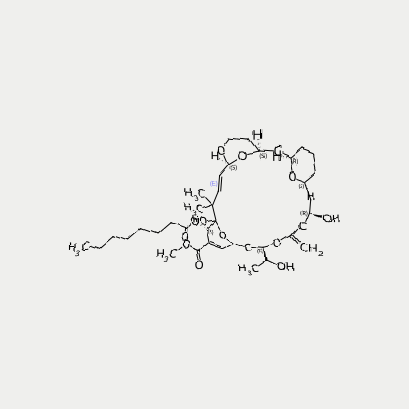 C=C1C[C@H](O)C[C@@H]2CCC[C@H](C[C@@H]3CCO[C@H](/C=C/C(C)(C)C4(O)OC(C=C(C(=O)OC)[C@@H]4OC(=O)CCCCCCC)C[C@H](C(C)O)O1)O3)O2